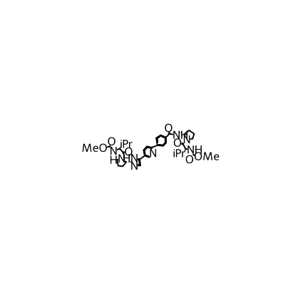 COC(=O)N[C@H](C(=O)N1CCC[C@H]1CNC(=O)c1ccc(-c2ccc(-c3cnc([C@@H]4CCCN4C(=O)[C@@H](NC(=O)OC)C(C)C)[nH]3)cn2)cc1)C(C)C